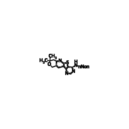 CCCCCCCCCNc1ncnc2c1sc1nc3c(cc12)COC(C)(C)C3